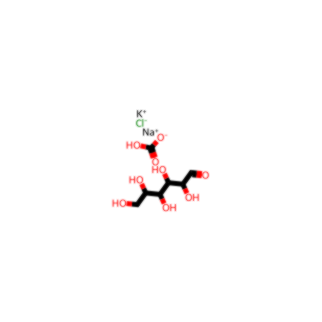 O=C([O-])O.O=CC(O)C(O)C(O)C(O)CO.[Cl-].[K+].[Na+]